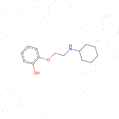 Oc1ccccc1OCCNC1CCCCC1